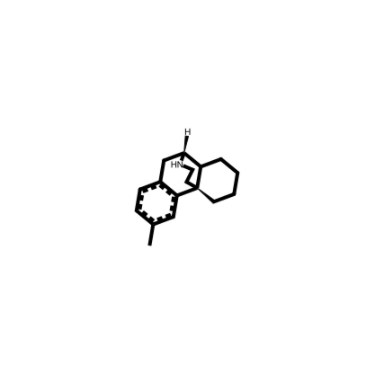 Cc1ccc2c(c1)[C@@]13CCCCC1[C@@H](C2)NCC3